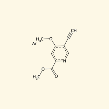 C#Cc1cnc(C(=O)OC)cc1OC.[Ar]